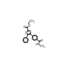 CCOC(=O)c1nc(-c2ccccc2)c(-c2ccc(C(=O)NC)cc2)s1